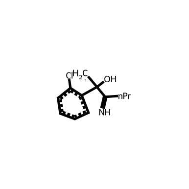 [CH2]C(O)(C(=N)CCC)c1ccccc1Cl